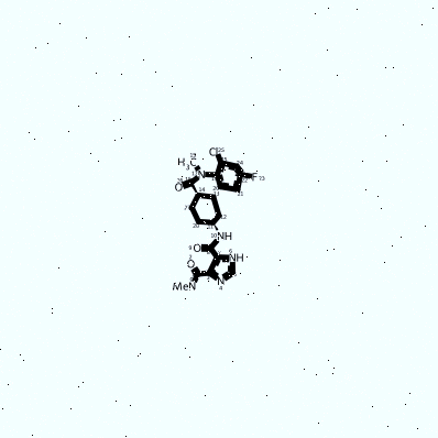 CNC(=O)c1nc[nH]c1C(=O)N[C@H]1CC[C@H](C(=O)N(C)c2ccc(F)cc2Cl)CC1